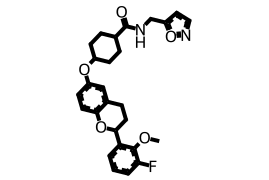 COc1c(F)cccc1C1CCc2cc(OC3CCC(C(=O)NCc4ccno4)CC3)ccc2O1